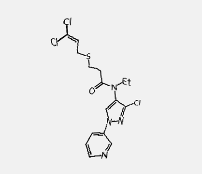 CCN(C(=O)CCSCC=C(Cl)Cl)c1cn(-c2cccnc2)nc1Cl